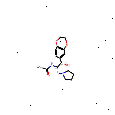 CCCCCCCCC(=O)N[C@@H](CN1CCCC1)[C@H](O)c1ccc2c(c1)OCCO2